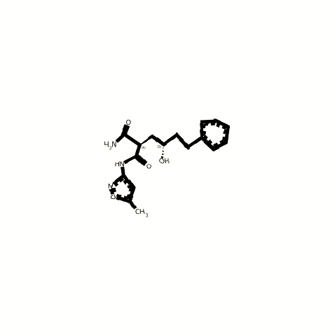 Cc1cc(NC(=O)[C@H](C[C@@H](O)[CH]Cc2ccccc2)C(N)=O)no1